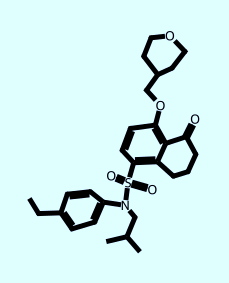 CCc1ccc(N(CC(C)C)S(=O)(=O)c2ccc(OCC3CCOCC3)c3c2CCCC3=O)cc1